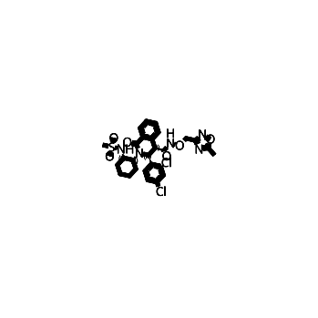 Cc1nc(CONC(=O)[C@@H]2c3ccccc3C(=O)N([C@H]3CCCC[C@@H]3NS(C)(=O)=O)[C@H]2c2ccc(Cl)cc2Cl)no1